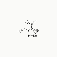 CC(C)NC(C)C.CCCC(C)C(=O)O